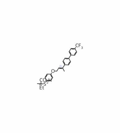 CC[C@@](C)(Sc1ccc(OC/C=C(\C)c2ccc(-c3ccc(C(F)(F)F)cc3)cc2)cc1)C(=O)O